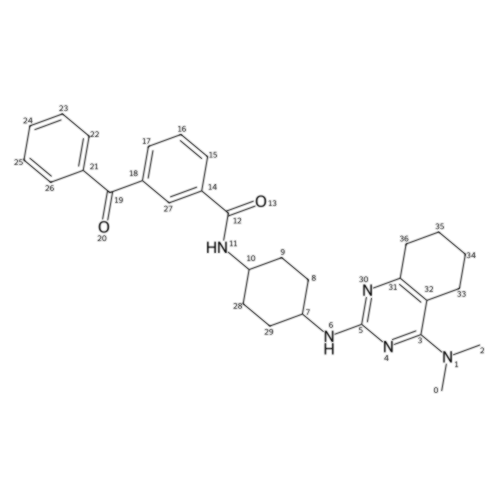 CN(C)c1nc(NC2CCC(NC(=O)c3cccc(C(=O)c4ccccc4)c3)CC2)nc2c1CCCC2